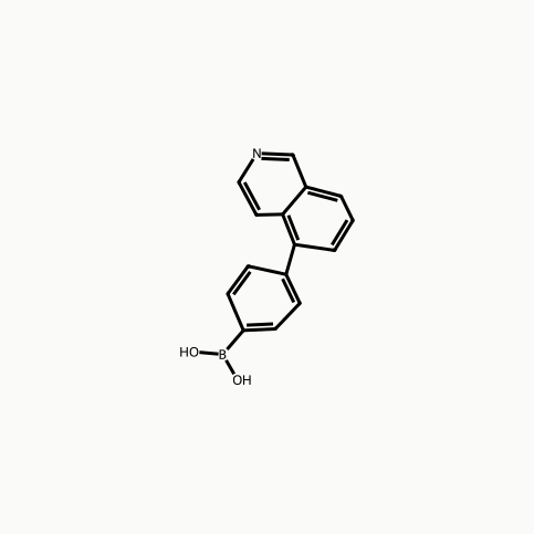 OB(O)c1ccc(-c2cccc3cnccc23)cc1